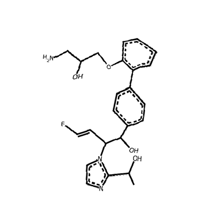 CC(O)c1nccn1C(C=CF)C(O)c1ccc(-c2ccccc2OCC(O)CN)cc1